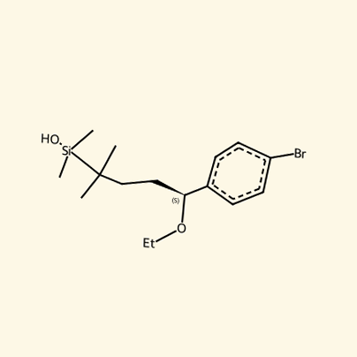 CCO[C@@H](CCC(C)(C)[Si](C)(C)O)c1ccc(Br)cc1